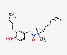 CCCCCC(C)(C)[N+]([O-])=Cc1ccc(O)c(CCCC)c1